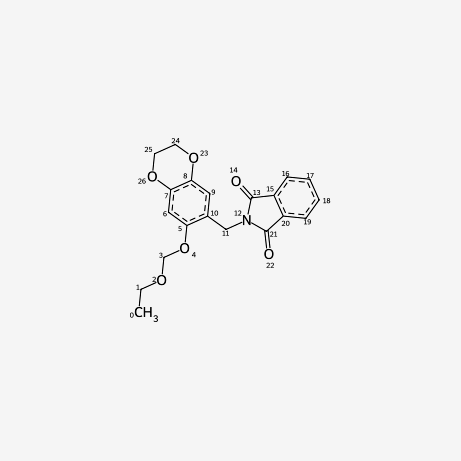 CCOCOc1cc2c(cc1CN1C(=O)c3ccccc3C1=O)OCCO2